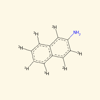 [2H]c1c([2H])c([2H])c2c([2H])c(N)c([2H])c([2H])c2c1[2H]